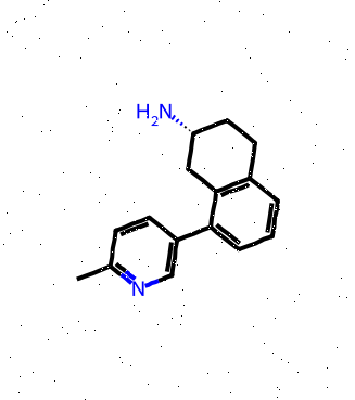 Cc1ccc(-c2cccc3c2C[C@H](N)CC3)cn1